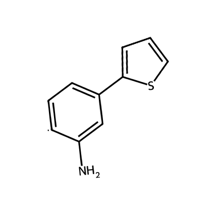 Nc1[c]ccc(-c2cccs2)c1